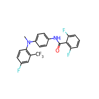 CN(c1ccc(NC(=O)c2c(F)cccc2F)cc1)c1ccc(F)cc1C(F)(F)F